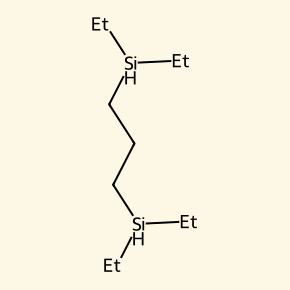 CC[SiH](CC)CCC[SiH](CC)CC